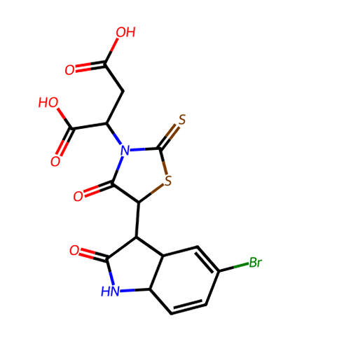 O=C(O)CC(C(=O)O)N1C(=O)C(C2C(=O)NC3C=CC(Br)=CC32)SC1=S